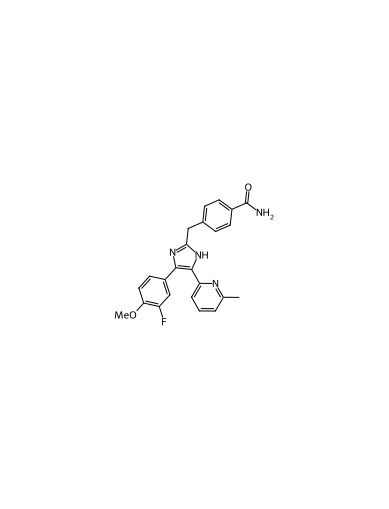 COc1ccc(-c2nc(Cc3ccc(C(N)=O)cc3)[nH]c2-c2cccc(C)n2)cc1F